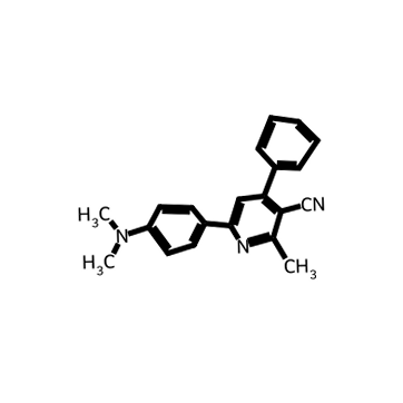 Cc1nc(-c2ccc(N(C)C)cc2)cc(-c2ccccc2)c1C#N